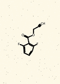 C#CCOC(=O)c1c(F)cccc1F